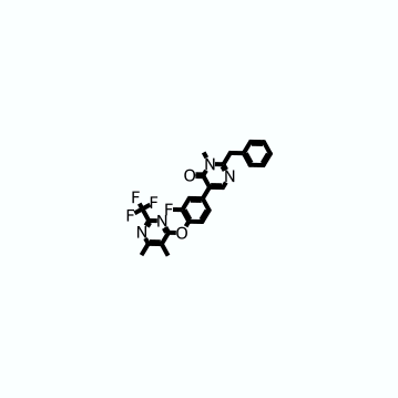 Cc1nc(C(F)(F)F)nc(Oc2ccc(-c3cnc(Cc4ccccc4)n(C)c3=O)cc2F)c1C